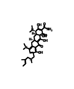 C/C=C(\C)CN(C)Cc1cc(N(C)C)c2c(c1O)C(=O)C1=C(O)[C@]3(O)C(=O)C(C(N)=O)=C(O)[C@@H](N(C)C)[C@@H]3C[C@@H]1C2